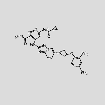 CNC(=O)c1nnc(NC(=O)C2CC2)cc1Nc1nc2ccc(N3CC(Oc4ccc(P)cc4P)C3)cn2n1